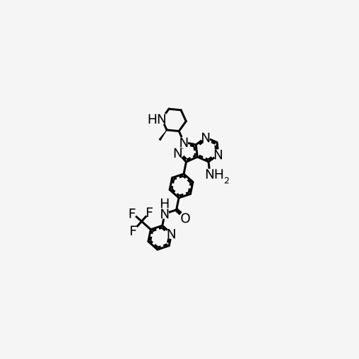 C[C@H]1NCCCC1n1nc(-c2ccc(C(=O)Nc3ncccc3C(F)(F)F)cc2)c2c(N)ncnc21